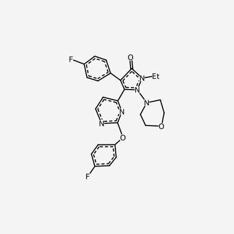 CCn1c(=O)c(-c2ccc(F)cc2)c(-c2ccnc(Oc3ccc(F)cc3)n2)n1N1CCOCC1